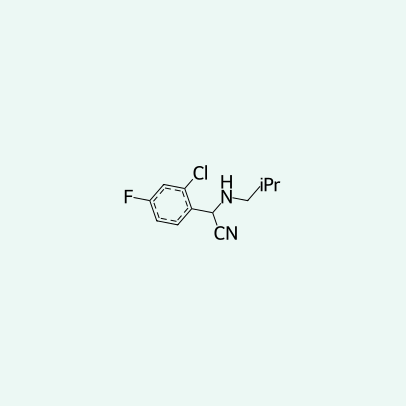 CC(C)CNC(C#N)c1ccc(F)cc1Cl